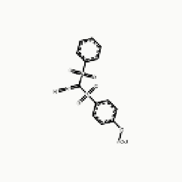 CCCCCCCCOc1ccc(S(=O)(=O)C(=[N+]=[N-])S(=O)(=O)c2ccccc2)cc1